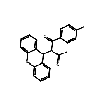 CC(=O)C(C(=O)c1ccc(F)cc1)C1c2ccccc2Sc2ccccc21